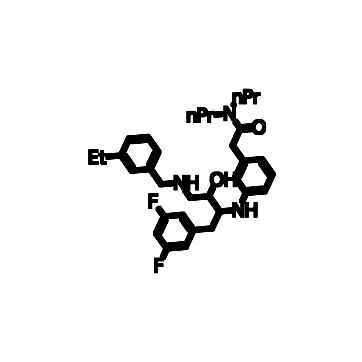 CCCN(CCC)C(=O)Cc1cccc(NC(Cc2cc(F)cc(F)c2)C(O)CNCc2cccc(CC)c2)c1